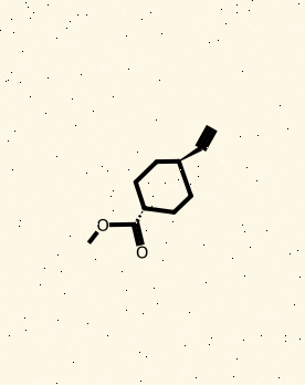 C#C[C@H]1CC[C@H](C(=O)OC)CC1